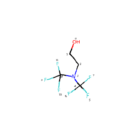 OCCN(C(F)(F)F)C(F)(F)F